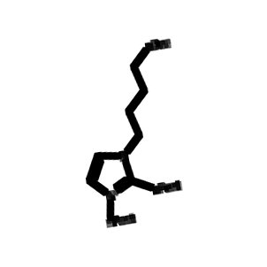 CCCCCCCCCCCCCCn1cc[n+](CCCCC)c1CCCCC